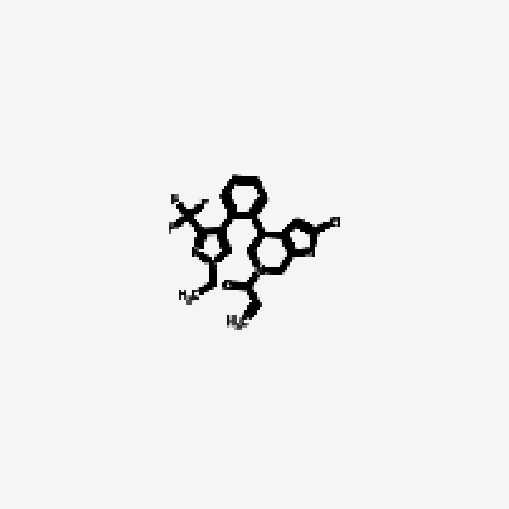 C=CC(=O)N1Cc2sc(Cl)cc2C(c2ccccc2-c2cn(CC)nc2C(F)(F)F)C1